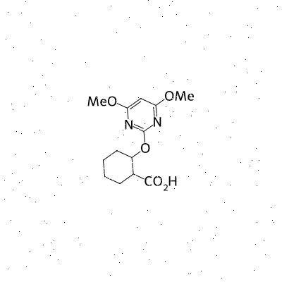 COc1cc(OC)nc(OC2CCCCC2C(=O)O)n1